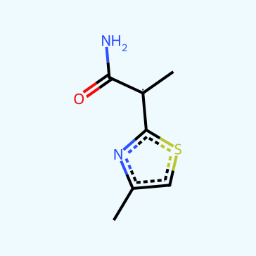 C[C](C(N)=O)c1nc(C)cs1